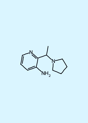 CC(c1ncccc1N)N1CCCC1